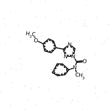 COc1ccc(-c2ncn(C(=O)N(C)c3ccccc3)n2)cc1